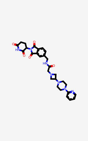 O=C(CN1CC(N2CCN(c3ccccn3)CC2)C1)NCc1ccc2c(c1)C(=O)N(C1CCC(=O)NC1=O)C2=O